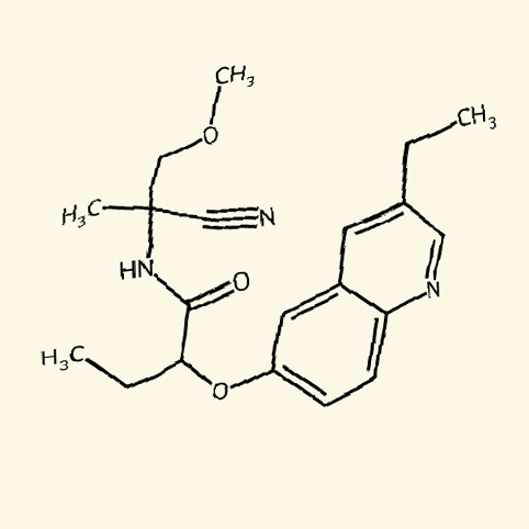 CCc1cnc2ccc(OC(CC)C(=O)NC(C)(C#N)COC)cc2c1